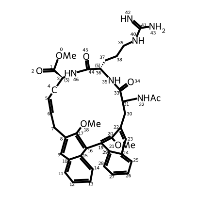 COC(=O)[C@@H]1CC=CCc2cc3ccccc3c(c2OC)-c2c(OC)c(cc3ccccc23)CC(NC(C)=O)C(=O)N[C@@H](CCCNC(=N)N)C(=O)N1